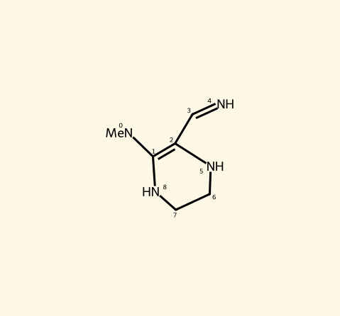 CNC1=C(C=N)NCCN1